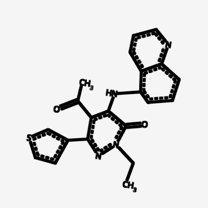 CCn1nc(-c2ccsc2)c(C(C)=O)c(Nc2cccc3ncccc23)c1=O